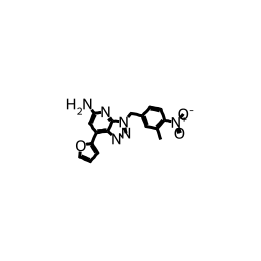 Cc1cc(Cn2nnc3c(-c4ccco4)cc(N)nc32)ccc1[N+](=O)[O-]